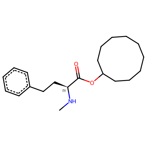 CN[C@@H](CCc1ccccc1)C(=O)OC1CCCCCCCCC1